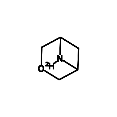 [2H]N1C2COCC1C2